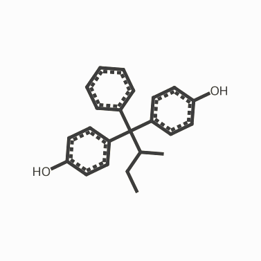 CCC(C)C(c1ccccc1)(c1ccc(O)cc1)c1ccc(O)cc1